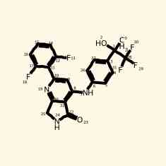 CC(O)(c1ccc(Nc2cc(-c3c(F)cccc3F)nc3c2C(=O)NC3)cc1)C(F)(F)F